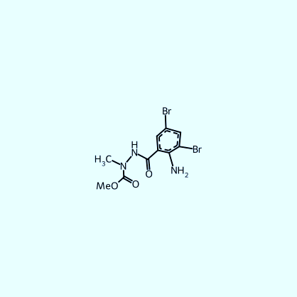 COC(=O)N(C)NC(=O)c1cc(Br)cc(Br)c1N